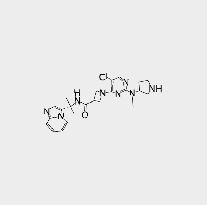 CN(c1ncc(Cl)c(N2CC(C(=O)NC(C)(C)c3cnc4ccccn34)C2)n1)C1CCNC1